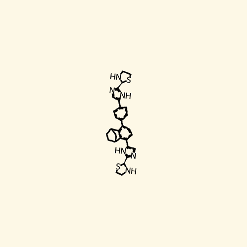 c1cc(-c2ccc(-c3cnc([C@H]4NCCS4)[nH]3)c3c2C2CCC3CC2)ccc1-c1cnc([C@H]2NCCS2)[nH]1